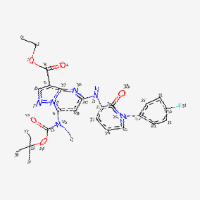 CCOC(=O)c1cnn2c(N(C)C(=O)OC(C)(C)C)cc(Nc3cccn(-c4ccc(F)cc4)c3=O)nc12